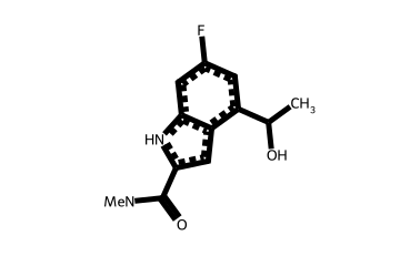 CNC(=O)c1cc2c(C(C)O)cc(F)cc2[nH]1